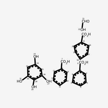 O=C(O)c1ccccc1.O=C(O)c1ccccc1.O=C(O)c1ccccc1.O=CO.Oc1cc(O)c(O)c(O)c1